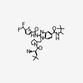 CC(NC(=O)c1ccc2c(c1)nc(NC(=O)c1ccc(C(F)F)s1)n2CC1CCCN1C(=O)C(C#N)=CC(C)(C)C)C(C)(C)C